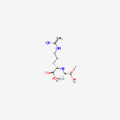 C=C(N)NCCC[C@H](N[C@@H](C)C(=O)O)C(=O)O